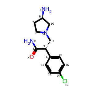 NC(=O)[C@H](CN1CC[C@@H](N)C1)c1ccc(Cl)cc1